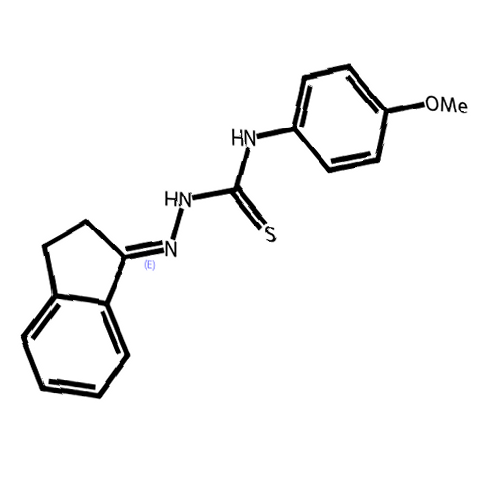 COc1ccc(NC(=S)N/N=C2\CCc3ccccc32)cc1